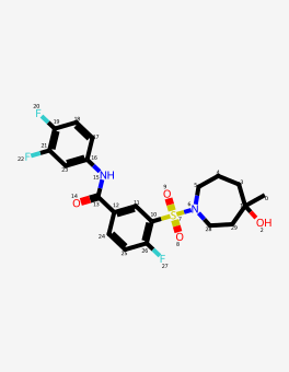 CC1(O)CCCN(S(=O)(=O)c2cc(C(=O)Nc3ccc(F)c(F)c3)ccc2F)CC1